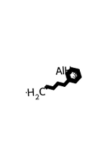 [AlH3].[CH2]CCCCc1ccccc1